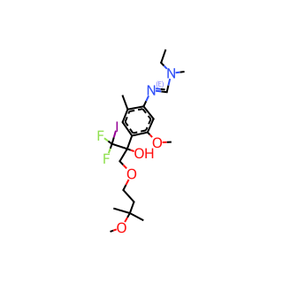 CCN(C)/C=N/c1cc(OC)c(C(O)(COCCC(C)(C)OC)C(F)(F)I)cc1C